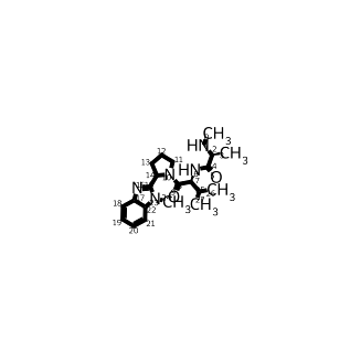 CN[C@@H](C)C(=O)N[C@H](C(=O)N1CCCC1C1=NC2C=CC=CC2N1C)C(C)C